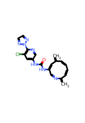 C=c1ccccc(=C)ncc(NC(=O)Nc2cnc(-n3nccn3)c(Cl)c2)c1